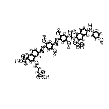 COc1ccc(Nc2ccc3c(O)c(N=Nc4cc(OC)c(N=Nc5cc(OC)c(N=Nc6ccc7cc(S(=O)(=O)O)cc(OCCCS(=O)(=O)O)c7c6)cc5OC)cc4OC)c(S(=O)(=O)O)cc3c2)cc1